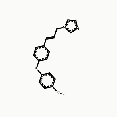 O=[N+]([O-])c1ccc(Sc2ccc(C=CCn3ccnc3)cc2)cc1